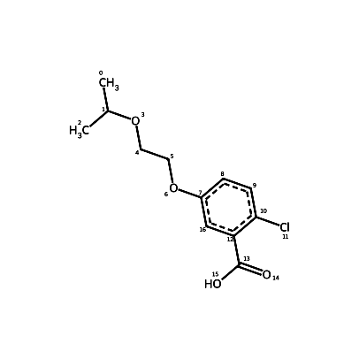 CC(C)OCCOc1ccc(Cl)c(C(=O)O)c1